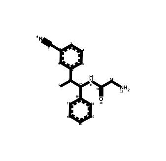 CC(c1cccc(C#N)c1)C(NC(=O)CN)c1ccccc1